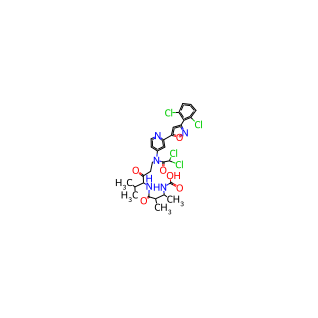 CC(C)C(NC(=O)C(C)C(C)NC(=O)O)C(=O)CCN(C(=O)C(Cl)Cl)c1ccnc(-c2cc(-c3c(Cl)cccc3Cl)no2)c1